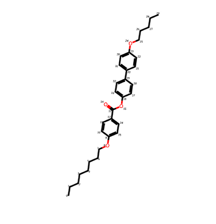 CCCCCCCCOc1ccc(C(=O)Oc2ccc(-c3ccc(OCCCCC)cc3)cc2)cc1